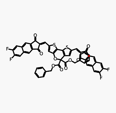 O=C1C(=Cc2cc3c(s2)-c2sc(C=C4C(=O)c5cc6cc(F)c(F)cc6cc5C4=O)cc2C(C(=O)OCc2ccccc2)(C(=O)OCc2ccccc2)O3)C(=O)c2cc3cc(F)c(F)cc3cc21